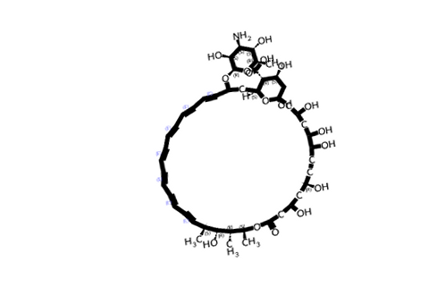 C[C@@H]1[C@H](O)[C@@H](C)/C=C/C=C/C=C/C=C/C=C/C=C/C=C/C(O[C@@H]2O[C@H](C)[C@@H](O)[C@H](N)[C@@H]2O)C[C@@H]2OC(O)(CC(O)CC(O)C(O)CC[C@@H](O)CC(O)CC(=O)O[C@H]1C)C[C@H](O)[C@H]2C(=O)O